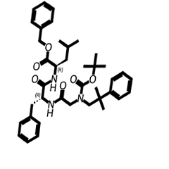 CC(C)C[C@@H](NC(=O)[C@@H](Cc1ccccc1)NC(=O)CN(CC(C)(C)c1ccccc1)C(=O)OC(C)(C)C)C(=O)OCc1ccccc1